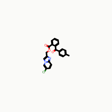 Cc1ccc(C(=O)c2ccccc2C(=O)OCc2cn3cc(Cl)ccc3n2)cc1